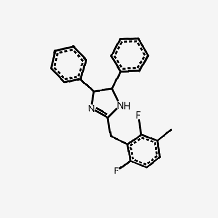 Cc1ccc(F)c(CC2=NC(c3ccccc3)C(c3ccccc3)N2)c1F